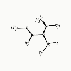 CCN(CC)C(C(C)O)C(O)CN